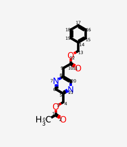 CC(=O)OCc1cnc(CC(=O)OCc2ccccc2)cn1